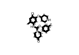 Cc1cc(Cl)c(OC2CCNCC2)cc1NC(=O)N1C=CC(=O)C[C@H]1c1ccc(F)cc1